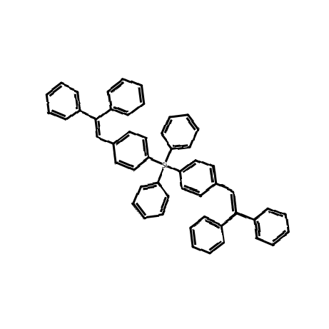 C(=C(c1ccccc1)c1ccccc1)c1ccc([Si](c2ccccc2)(c2ccccc2)c2ccc(C=C(c3ccccc3)c3ccccc3)cc2)cc1